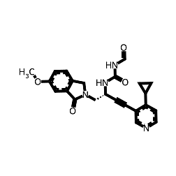 COc1ccc2c(c1)C(=O)N(C[C@@H](C#Cc1cnccc1C1CC1)NC(=O)NC=O)C2